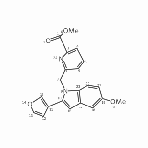 COC(=O)c1cccc(Cn2c(-c3ccoc3)cc3cc(OC)ccc32)n1